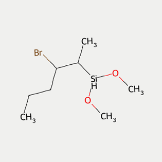 CCCC(Br)C(C)[SiH](OC)OC